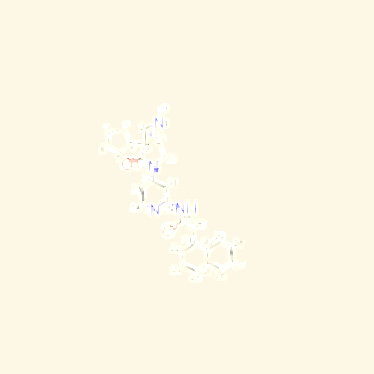 C/N=C/C1(C2CCCC2)CCN(c2ccnc(NC(=O)Cc3cccc4ccccc34)c2)C1=O